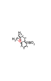 CC1(C)C[CH]c2c(cccc2[N+](=O)[O-])O1